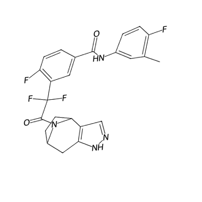 Cc1cc(NC(=O)c2ccc(F)c(C(F)(F)C(=O)N3C4CCC3c3cn[nH]c3C4)c2)ccc1F